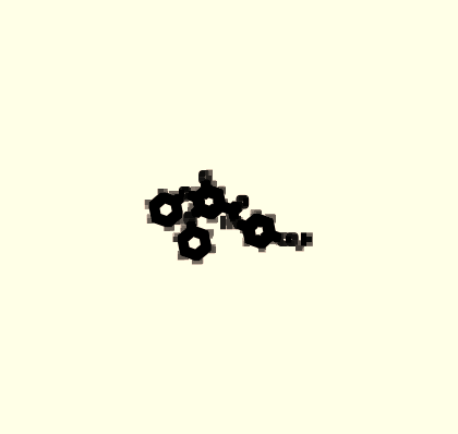 O=C(O)c1ccc(NC(=O)c2cc(Cl)c(OC3CCCCC3)c(OC3CCCCC3)c2)cc1